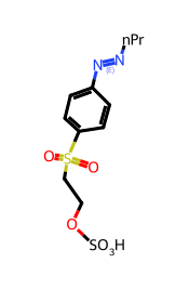 CCC/N=N/c1ccc(S(=O)(=O)CCOS(=O)(=O)O)cc1